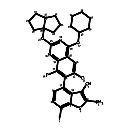 N#Cc1c(N)sc2c(F)ccc(-c3c(Cl)cc4c(OC5CCCCC5)nc(OC56CCCN5CCC6)nc4c3F)c12